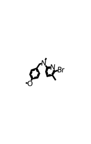 COc1ccc(CN(C)c2ccc(C)c(Br)n2)cc1